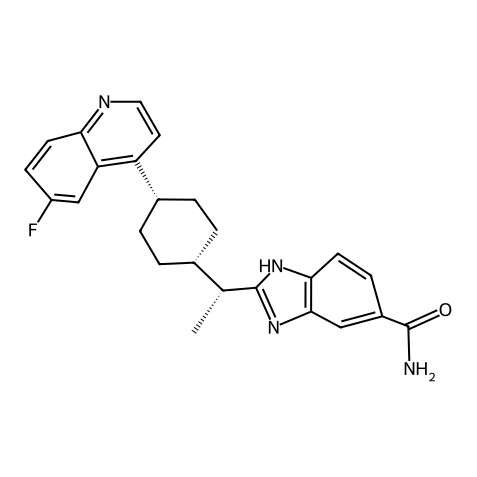 C[C@@H](c1nc2cc(C(N)=O)ccc2[nH]1)[C@H]1CC[C@@H](c2ccnc3ccc(F)cc32)CC1